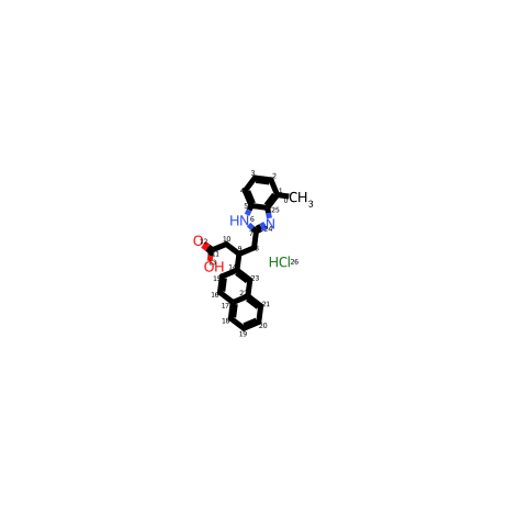 Cc1cccc2[nH]c(CC(CC(=O)O)c3ccc4ccccc4c3)nc12.Cl